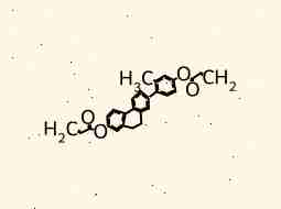 C=CC(=O)Oc1ccc(-c2ccc3c(c2)CCc2cc(OC(=O)C=C)ccc2-3)c(C)c1